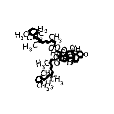 CC(C=CC1=C(C)CCCC1(C)C)=CC=CC(C)=CC(=O)OCC(=O)[C@]1(OC(=O)C=C(C)C=CC=C(C)C=CC2=C(C)CCCC2(C)C)CC[C@H]2[C@@H]3CCC4=CC(=O)CC[C@]4(C)[C@H]3[C@@H](O)C[C@@]21C